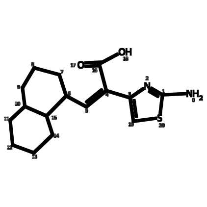 Nc1nc(C(=CC2CCCC3CCCCC23)C(=O)O)cs1